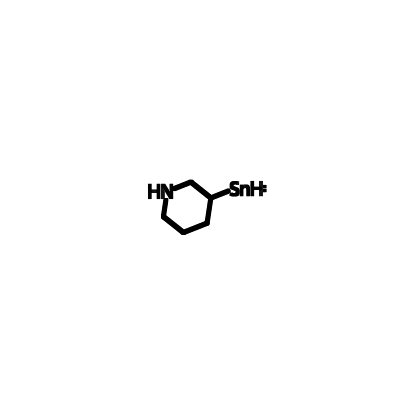 [SnH][CH]1CCCNC1